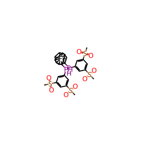 CS(=O)(=O)c1cc(P[C]23[CH]4[CH]5[CH]6[CH]2[Fe]56432789[CH]3[CH]2[CH]7[C]8(Pc2cc(S(C)(=O)=O)cc(S(C)(=O)=O)c2)[CH]39)cc(S(C)(=O)=O)c1